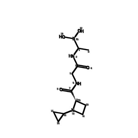 CC(NC(=O)CNC(=O)[C@@H]1CCN1C1CC1)B(O)O